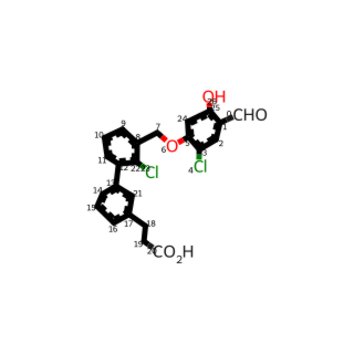 O=Cc1cc(Cl)c(OCc2cccc(-c3cccc(CCC(=O)O)c3)c2Cl)cc1O